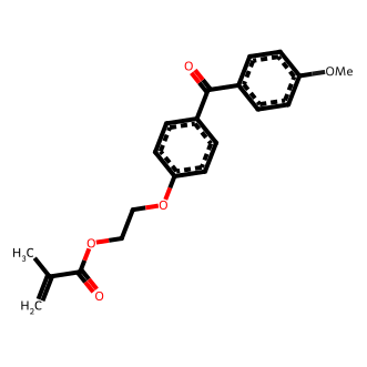 C=C(C)C(=O)OCCOc1ccc(C(=O)c2ccc(OC)cc2)cc1